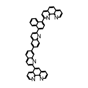 c1cnc2c(c1)ccc1ccc(-c3ccc(-c4ccc5cc(-c6ccc7ccc(-c8cc9cccnc9c9ncccc89)nc7c6)ccc5n4)c4ccccc34)nc12